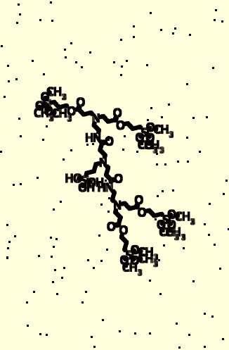 CO[Si](CCCOC(=O)CCN(CCNC(=O)CCN(CCC[Si](O)(O)O)CCC(=O)NCCN(CCC(=O)OCCC[Si](OC)(OC)OC)CCC(=O)OCCC[Si](OC)(OC)OC)CCC(=O)OCCC[Si](OC)(OC)OC)(OC)OC